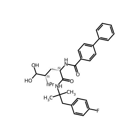 CCC[C@@H](C[C@H](NC(=O)c1ccc(-c2ccccc2)cc1)C(=O)NC(C)(C)Cc1ccc(F)cc1)C(O)O